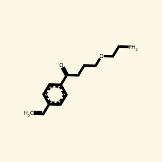 C=Cc1ccc(C(=O)CCCOCCP)cc1